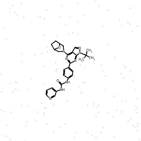 CC(C)(C)n1ncc2c(N3CC4CCC(C3)O4)nc(-c3ccc(NC(=O)Nc4cccnc4)cc3)nc21